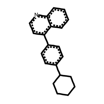 c1ccc2c(-c3ccc(C4CCCCC4)cc3)ccnc2c1